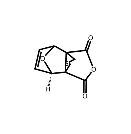 O=C1OC(=O)C23CSCC12C1C=C[C@H]3O1